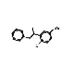 CCCCCCCCc1ccc(O)c(C(C)Cc2ccccc2)c1